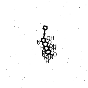 CN(C)c1cc(C#CC2=CCCC2)c(O)c2c1C[C@H]1C[C@H]3[C@H](N(C)C)C(O)=C(C(N)=O)C(=O)[C@@]3(O)C(O)=C1C2=O